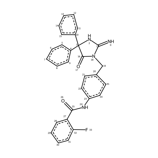 N=C1NC(c2ccccc2)(c2ccccc2)C(=O)N1Cc1ccc(NC(=O)c2ccccc2F)cc1